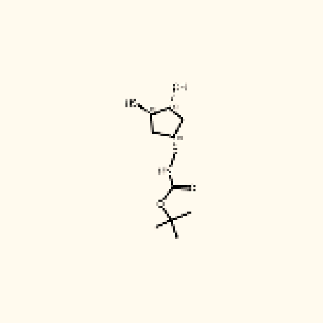 CC(C)(C)OC(=O)NC[C@H]1C[C@@H](O)[C@H](S)C1